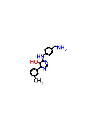 Cc1cccc(-c2ncnc(Nc3ccc(CN)cc3)c2O)c1